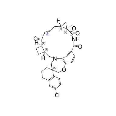 C[C@@]12C[C@H]1C/C=C/C(=O)[C@@H]1CC[C@H]1CN1C[C@@]3(CCCc4cc(Cl)ccc43)COc3ccc(cc31)C(=O)NS2(=O)=O